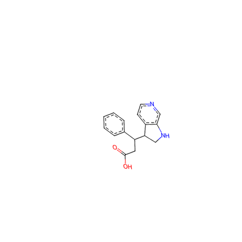 O=C(O)CC(c1ccccc1)C1CNc2cnccc21